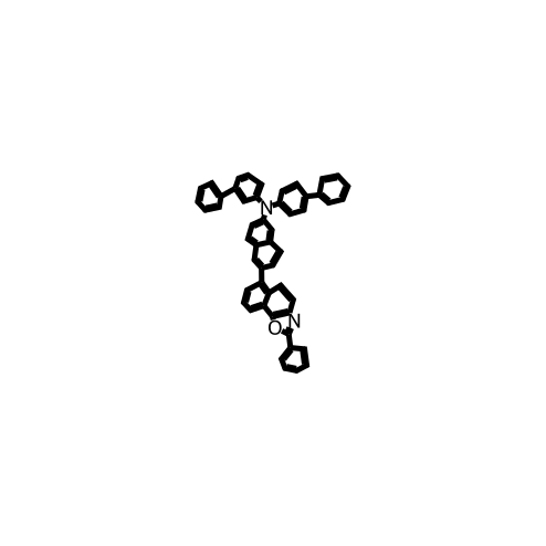 c1ccc(-c2ccc(N(c3cccc(-c4ccccc4)c3)c3ccc4cc(-c5cccc6c5ccc5nc(-c7ccccc7)oc56)ccc4c3)cc2)cc1